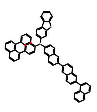 c1ccc(-c2cccc3cccc(-c4ccc(N(c5ccc6cc(-c7ccc8cc(-c9cccc%10ccccc9%10)ccc8c7)ccc6c5)c5ccc6c(c5)oc5ccccc56)cc4)c23)cc1